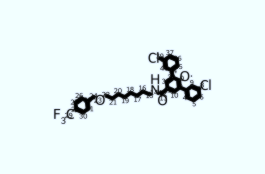 [O]c1c(-c2cccc(Cl)c2)cc(C(=O)NCCCCCCCCOCc2ccc(C(F)(F)F)cc2)cc1-c1cccc(Cl)c1